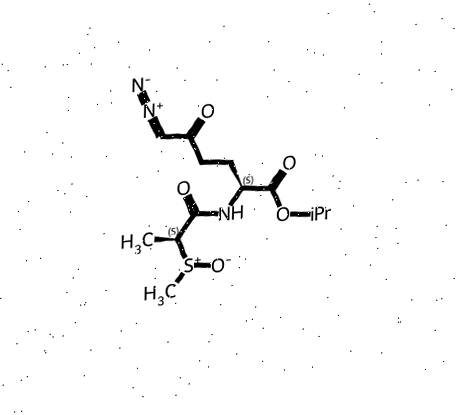 CC(C)OC(=O)[C@H](CCC(=O)C=[N+]=[N-])NC(=O)[C@H](C)[S+](C)[O-]